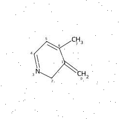 C=C1CN=CC=C1C